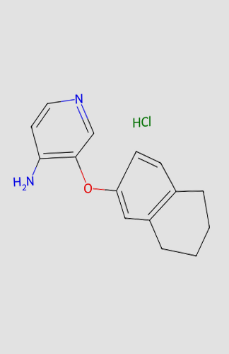 Cl.Nc1ccncc1Oc1ccc2c(c1)CCCC2